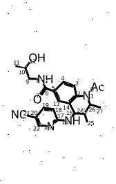 CC(=O)N1c2ccc(C(=O)NC[C@@H](C)O)cc2C(Nc2ccc(C#N)cn2)C(C)C1C